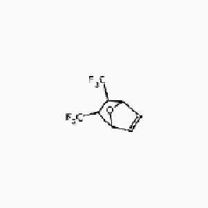 FC(F)(F)C1C2C=CC(O2)C1C(F)(F)F